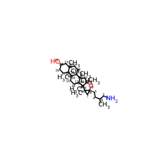 C[C@H](CN)CC[C@@]12C[C@@]1(C)[C@]1(C)[C@@]3(C)CC[C@]4(C)C(CC[C@]5(C)C[C@@H](O)CC[C@@]54C)[C@@]3(C)C[C@@]1(C)O2